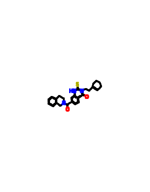 O=C(c1ccc2c(=O)n(CCC3=CCCCC3)c(=S)[nH]c2c1)N1CCc2ccccc2C1